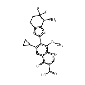 COc1c(-c2cc3c(s2)C(N)C(F)(F)CC3)c(C2CC2)cc2c(=O)c(C(=O)O)c[nH]c12